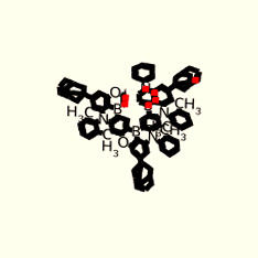 Cc1ccccc1N1c2cc3c(cc2B2c4cc5c(cc4Oc4cc(C67CC8CC(CC(C8)C6)C7)cc1c42)N(c1c(C)cccc1C)c1cc(C24CC6CC(CC(C6)C2)C4)cc2c1B5c1ccccc1O2)B1c2ccccc2N(c2ccccc2)c2cc(C45CC6CC(CC(C6)C4)C5)cc(c21)N3c1c(C)cccc1C